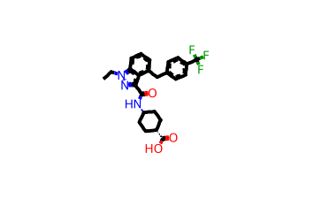 CCn1nc(C(=O)N[C@H]2CC[C@@H](C(=O)O)CC2)c2c(Cc3ccc(C(F)(F)F)cc3)cccc21